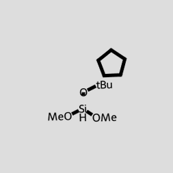 C1CCCC1.CO[SiH](OC)OC(C)(C)C